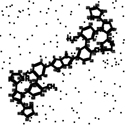 Cc1ccc(C2=CC3SC(c4ccc(C)c(-c5cc(-n6c(-c7nccs7)ccc6-c6nccs6)ccc5C)c4)=CC3S2)cc1-c1cc(-n2c(-c3nccs3)ccc2-c2nccs2)ccc1C